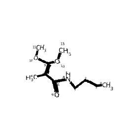 CCCCNC(=O)C(C)=C(OC)OC